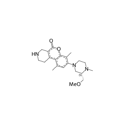 COC[C@@H]1CN(c2cc(C)c3c4c(c(=O)oc3c2C)CNCC4)CCN1C